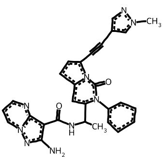 CC(NC(=O)c1c(N)nn2cccnc12)c1cc2ccc(C#Cc3cnn(C)c3)n2c(=O)n1-c1ccccc1